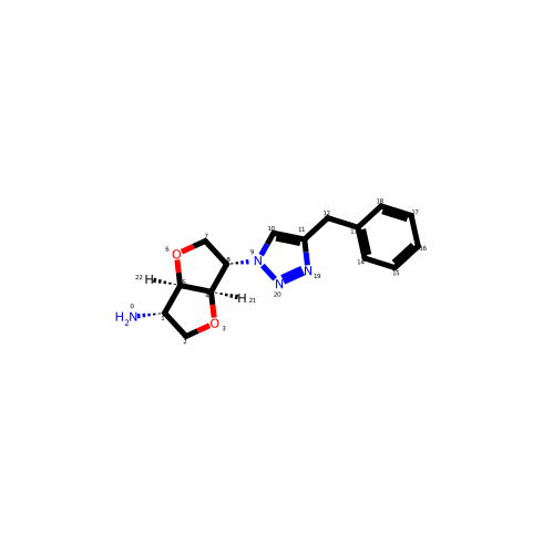 N[C@H]1CO[C@H]2[C@@H]1OC[C@@H]2n1cc(Cc2ccccc2)nn1